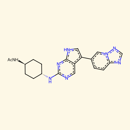 CC(=O)N[C@H]1CC[C@H](Nc2ncc3c(-c4ccc5ncnn5c4)c[nH]c3n2)CC1